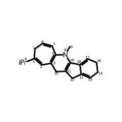 CC(C)C1=CC2=C(C=CC1)N(C)C1=C(CC3=CCCC=C31)C2